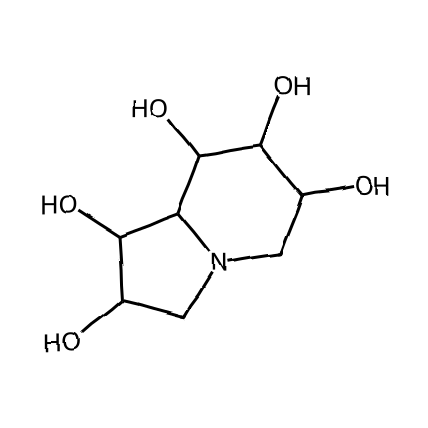 OC1CN2CC(O)C(O)C2C(O)C1O